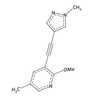 COc1ncc(C)cc1C#Cc1cnn(C)c1